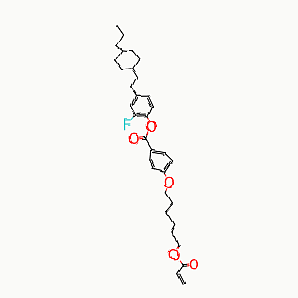 C=CC(=O)OCCCCCCOc1ccc(C(=O)Oc2ccc(CCC3CCC(CCC)CC3)cc2F)cc1